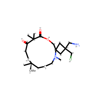 CO[C@]1(C)CCCN(C)C2(COC(=O)C(C)(C)C(=O)CC1)CC(CN)(CCl)C2